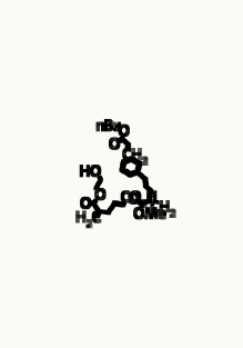 C=C(CC=CC(=O)O)C(=O)OCCO.C=C(CC=Cc1ccccc1)C(=O)OC.C=CC(=O)OCCCC